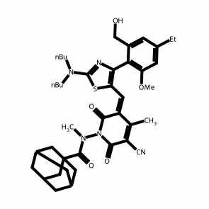 CCCCN(CCCC)c1nc(-c2c(CO)cc(CC)cc2OC)c(/C=C2\C(=O)N(N(C)C(=O)C34CC5CC(CC(C5)C3)C4)C(=O)C(C#N)=C2C)s1